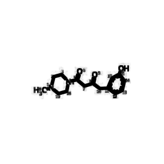 CN1CCN(C(=O)CC(=O)Cc2cccc(O)c2)CC1